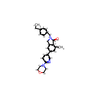 CCc1ccc(CN2Cc3cc(-c4ccc(N5CCOCC5)nc4)cc(C)c3C2=O)cc1